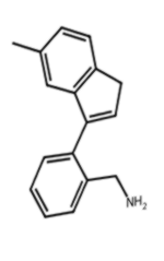 Cc1ccc2c(c1)C(c1ccccc1CN)=CC2